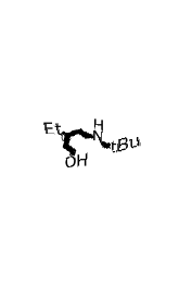 CC[C@H](CCO)CCNCC(C)(C)C